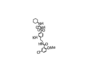 COc1ccc(Cl)cc1C(=O)NCCc1ccc(S(=O)(=O)NC(=O)NC2CCCCC2)cc1.[KH]